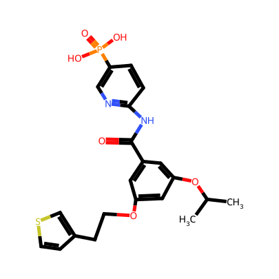 CC(C)Oc1cc(OCCc2ccsc2)cc(C(=O)Nc2ccc(P(=O)(O)O)cn2)c1